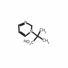 CC(C)(C(=O)O)N1C=CC=NC1